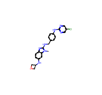 Cn1c(NCc2ccc(Nc3ncc(Cl)cn3)cc2)nc2ccc(NC3COC3)cc21